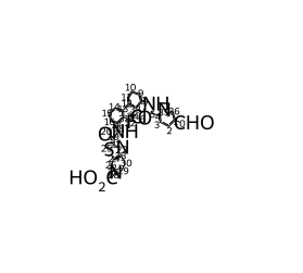 O=Cc1ccc(C(=O)Nc2cccc(-c3cccc(NC(=O)c4nc5c(s4)CN(C(=O)O)CC5)c3F)c2Cl)nc1